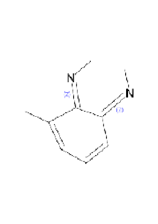 C/N=C1/C=CC=C(C)/C1=N/C